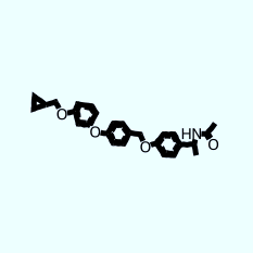 CC(=O)NC(C)c1ccc(OCc2ccc(Oc3cccc(OCC4CC4)c3)cc2)cc1